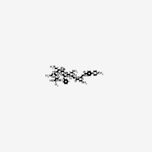 CCNC(=O)C(NC(=O)[C@H](CCN)NC(=O)[C@H](CCN)NC(=O)[C@H](CC(C)C)NC(=O)[C@@H](Cc1ccccc1)NC(=O)[C@H](CCN)NC(=O)CNC(=O)[C@H](CCN)NC(=O)CNC(=O)c1ccc(N2CCN(C)CC2)cc1)C(C)O